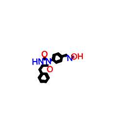 O=C1NC(Cc2ccccc2)C(=O)N1c1ccc(C=NO)cc1